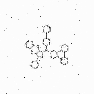 c1ccc(-c2ccc(N(c3ccc4c5ccccc5c5ccccc5c4c3)c3sc(-c4ccccc4)c4c3Oc3ccccc3O4)cc2)cc1